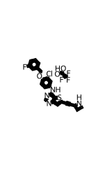 Fc1cccc(COc2ccc(Nc3ncnc4cc(C#CC5CCN5)sc34)cc2Cl)c1.O=C(O)C(F)(F)F